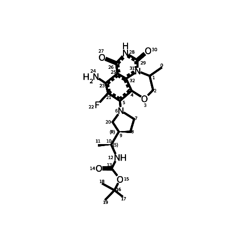 CC1COc2c(N3CC[C@@H]([C@H](C)NC(=O)OC(C)(C)C)C3)c(F)c(N)c3c(=O)[nH]c(=O)n1c23